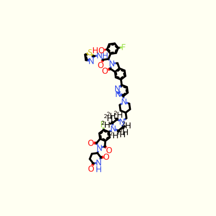 [2H]C1([2H])N(CC2CCN(c3ccc(-c4ccc5c(c4)C(=O)N(C(C(=O)Nc4nccs4)c4cc(F)ccc4O)C5)nn3)CC2)C([2H])([2H])C([2H])([2H])N(c2cc3c(cc2F)C(=O)N(C2CCC(=O)NC2=O)C3=O)C1([2H])[2H]